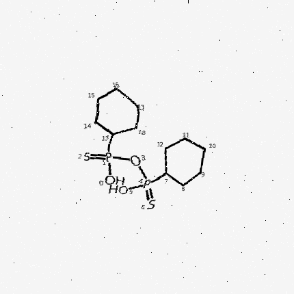 OP(=S)(OP(O)(=S)C1CCCCC1)C1CCCCC1